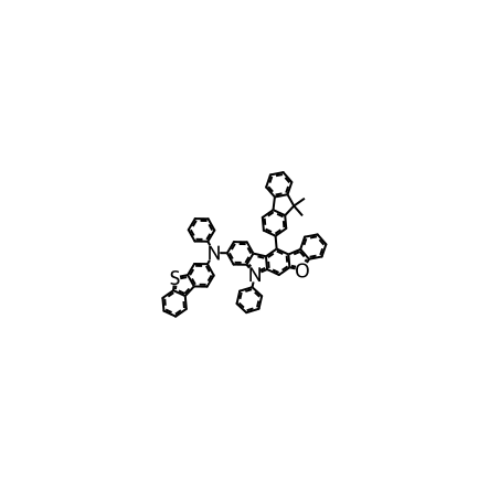 CC1(C)c2ccccc2-c2ccc(-c3c4c(cc5c3c3ccc(N(c6ccccc6)c6ccc7c(c6)sc6ccccc67)cc3n5-c3ccccc3)oc3ccccc34)cc21